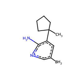 Bc1cnc(N)c(C2(C)CCCC2)c1